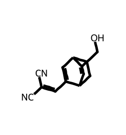 N#CC(C#N)=CC1=CC2CCC1C=C2CO